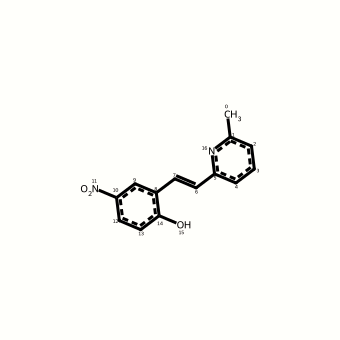 Cc1cccc(C=Cc2cc([N+](=O)[O-])ccc2O)n1